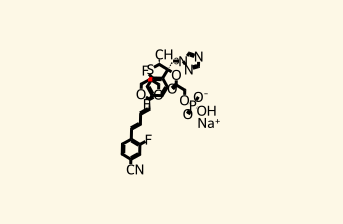 C[C@@H](S[C@H]1CO[C@H](/C=C/C=C/c2ccc(C#N)cc2F)OC1)[C@@](Cn1cncn1)(OC(=O)COP(=O)([O-])O)c1ccc(F)cc1F.[Na+]